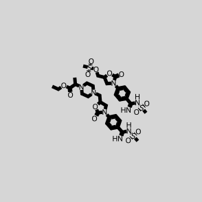 CCOC(=O)C(C)N1CCN(CC2CN(c3ccc(C(=N)NS(C)(=O)=O)cc3)C(=O)O2)CC1.CS(=O)(=O)NC(=N)c1ccc(N2CC(COS(C)(=O)=O)OC2=O)cc1